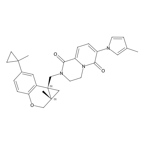 Cc1ccn(-c2ccc3n(c2=O)CCN(C[C@@]24C[C@]2(C)COc2ccc(C5(C)CC5)cc24)C3=O)c1